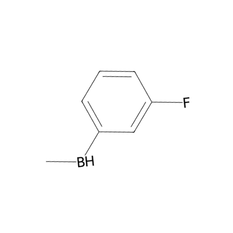 CBc1cccc(F)c1